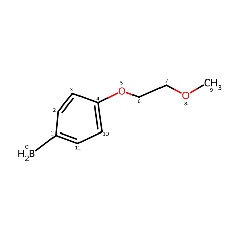 Bc1ccc(OCCOC)cc1